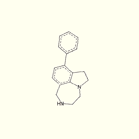 c1ccc(-c2ccc3c4c2CCN4CCNC3)cc1